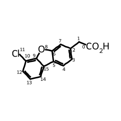 O=C(O)Cc1ccc2c(c1)oc1c(Cl)cccc12